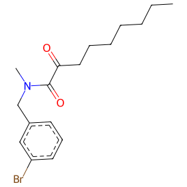 CCCCCCCC(=O)C(=O)N(C)Cc1cccc(Br)c1